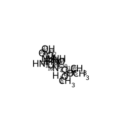 CCOc1cc(C(Nc2ccc(C(=N)N)cc2)C(=O)NNc2ccc(C(=O)O)cc2)ccc1OC(C)C